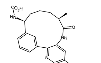 C[C@@H]1CCC[C@H](NC(=O)O)c2cccc(c2)-c2ncc(C#N)cc2NC1=O